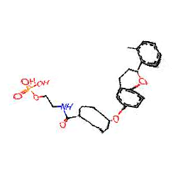 Cc1ccccc1[C@@H]1CCc2cc(O[C@H]3CC[C@H](C(=O)NCCOP(=O)(O)O)CC3)ccc2O1